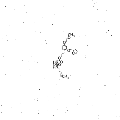 COCCCNS(=O)(=O)NC(=O)OCCCc1ccc(OCCOC)cc1OCC1CCCO1